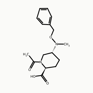 CC(=O)N1C[C@H](N(C)OCc2ccccc2)CC[C@H]1C(=O)O